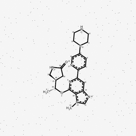 C[C@@H](Oc1nc(-c2ccc(N3CCNCC3)cn2)cc2ncn(C)c12)[C@H]1CNC(=O)C1